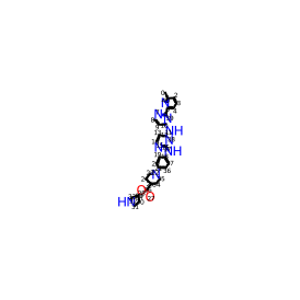 Cc1cccc(-c2nccc(Nc3ccnc(Nc4ccc(N5CCC(C(=O)O[C@H]6CCNC6)CC5)cc4)n3)n2)n1